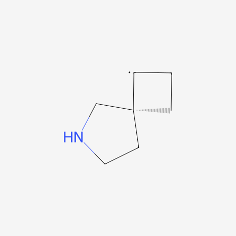 [CH]1CC[C@@]12CCNC2